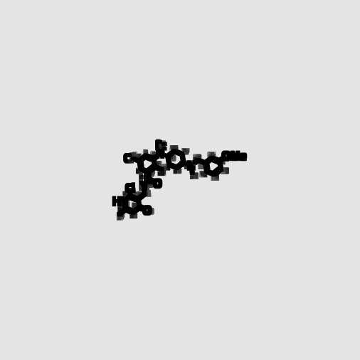 CCN(c1cc(Cl)cc(C(=O)NCc2c(Cl)[nH]c(C)cc2=O)c1C)[C@H]1CC[C@H](N(C)Cc2cccc(OC)c2)CC1